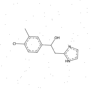 Cc1cc(C(O)Cc2ncc[nH]2)ccc1Cl